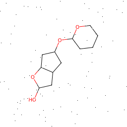 OC1CC2CC(OC3CCCCO3)CC2O1